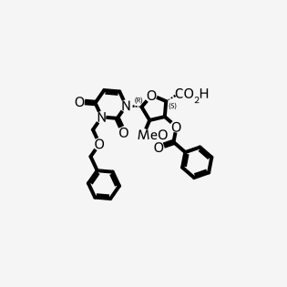 COC1C(OC(=O)c2ccccc2)[C@@H](C(=O)O)O[C@H]1n1ccc(=O)n(COCc2ccccc2)c1=O